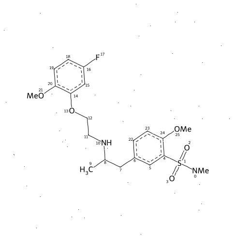 CNS(=O)(=O)c1cc(CC(C)NCCOc2cc(F)ccc2OC)ccc1OC